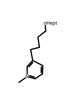 CCCCCCCCCCCc1ccc[n+](C)c1